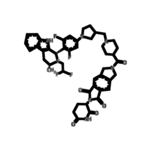 C[C@@H]1Cc2c([nH]c3ccccc23)[C@@H](c2c(F)cc(N3CCC(CN4CCC(C(=O)N5Cc6cc7c(cc6C5)C(=O)N(C5CCC(=O)NC5=O)C7=O)CC4)C3)cc2F)N1CC(F)F